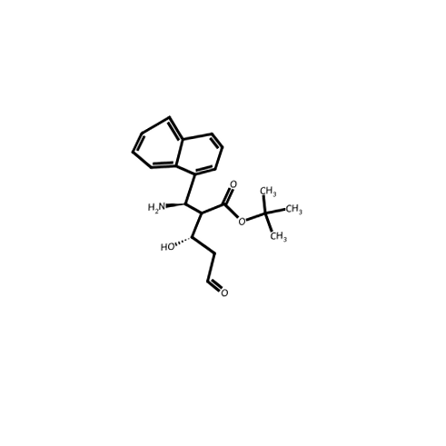 CC(C)(C)OC(=O)C([C@@H](O)CC=O)[C@@H](N)c1cccc2ccccc12